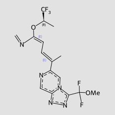 C=N/C(=C\C=C(/C)c1cn2c(C(F)(F)OC)nnc2cn1)O[C@H](C)C(F)(F)F